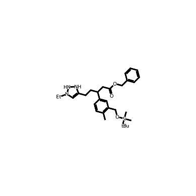 CCN1C=C(CCC(CC(=O)OCc2ccccc2)c2ccc(C)c(CO[Si](C)(C)C(C)(C)C)c2)NN1